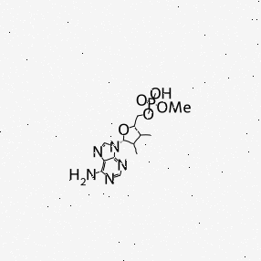 COP(=O)(O)OCC1O[C@@H](n2cnc3c(N)ncnc32)C(C)C1C